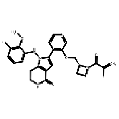 C=C(F)C(=O)N1CC[C@H]1COc1cnccc1-c1cc2c(n1Nc1cccc(Cl)c1OC)CCNC2=O